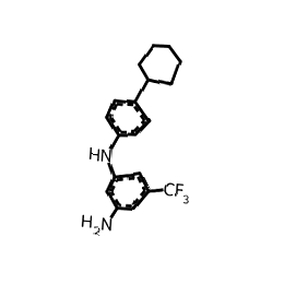 Nc1cc(Nc2ccc(C3CCCCC3)cc2)cc(C(F)(F)F)c1